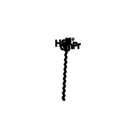 C=CCCCCCCCCCCCCCCCCCCCCOP(=O)(O)C(CCC)[N+](C)(C)C